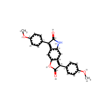 COc1ccc(C2=c3cc4c(cc3NC2=O)=C(c2ccc(OC)cc2)C(=O)O4)cc1